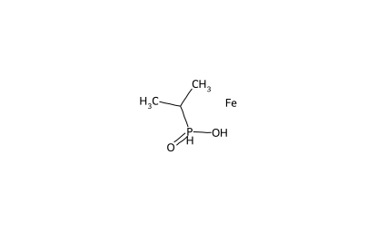 CC(C)[PH](=O)O.[Fe]